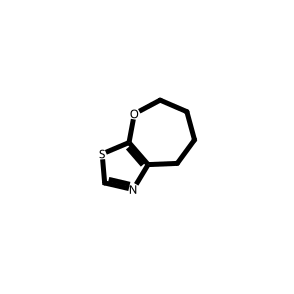 c1nc2c(s1)OCCCC2